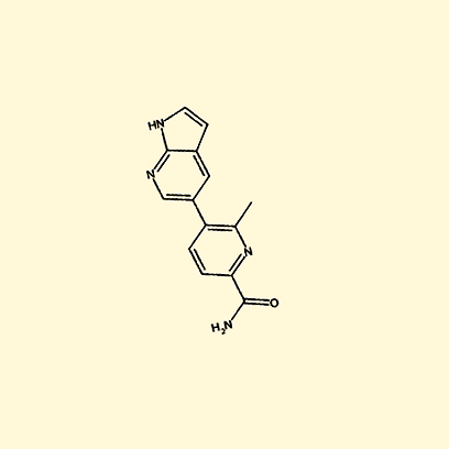 Cc1nc(C(N)=O)ccc1-c1cnc2[nH]ccc2c1